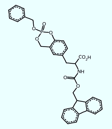 O=C(NC(Cc1ccc2c(c1)COP(=O)(OCc1ccccc1)O2)C(=O)O)OCC1c2ccccc2-c2ccccc21